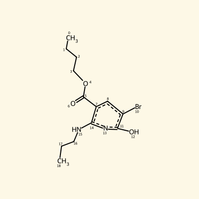 CCCCOC(=O)c1cc(Br)c(O)nc1NCCC